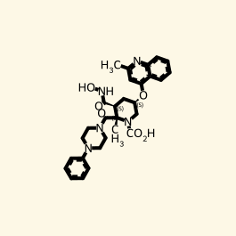 Cc1cc(O[C@H]2C[C@H](C(=O)NO)[C@@](C)(C(=O)N3CCN(c4ccccc4)CC3)N(C(=O)O)C2)c2ccccc2n1